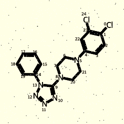 Clc1ccc(N2CCN(c3nnnn3-c3ccccc3)CC2)cc1Cl